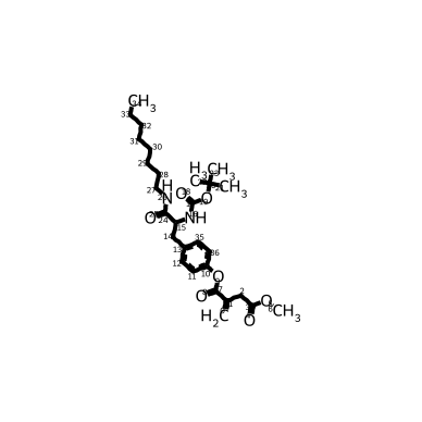 C=C(CC(=O)OC)C(=O)Oc1ccc(CC(NC(=O)OC(C)(C)C)C(=O)NCCCCCCCC)cc1